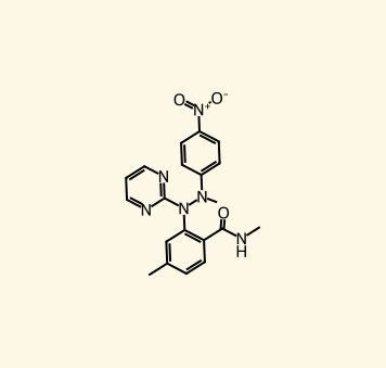 CNC(=O)c1ccc(C)cc1N(c1ncccn1)N(C)c1ccc([N+](=O)[O-])cc1